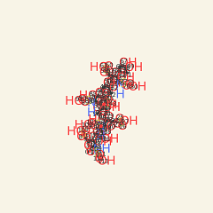 CO[C@H]1OC(COS(=O)(=O)O)[C@@H](O[C@H]2C[C@H](O)[C@@H](O[C@@H]3OC(COS(=O)(=O)O)[C@@H](O[C@H]4C[C@H](O)[C@@H](O[C@@H]5OC(COS(=O)(=O)O)[C@@H](O[C@H]6C[C@H](O)[C@@H](O[C@@H]7OC(COS(=O)(=O)O)[C@@H](O[C@H]8C[C@H](O)[C@H](O)C(C)O8)[C@H](O)C7NSOOO)C(C)O6)[C@H](O)C5NSOOO)C(C)O4)[C@H](O)C3NSOOO)C(C)O2)[C@H](O)C1NSOOO